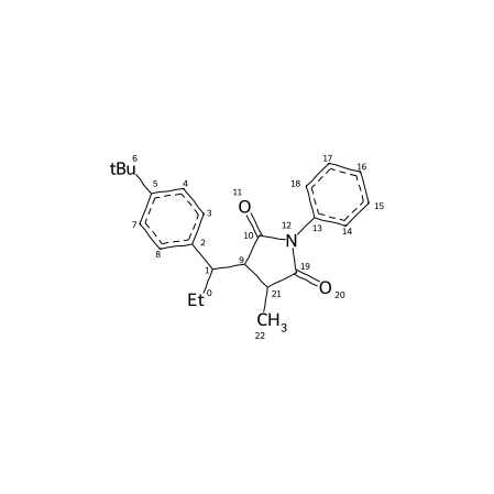 CCC(c1ccc(C(C)(C)C)cc1)C1C(=O)N(c2ccccc2)C(=O)C1C